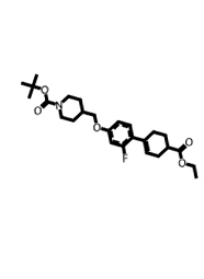 CCOC(=O)C1CC=C(c2ccc(OCC3CCN(C(=O)OC(C)(C)C)CC3)cc2F)CC1